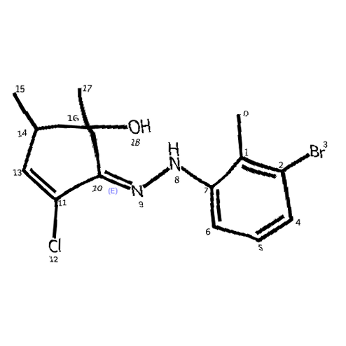 Cc1c(Br)cccc1N/N=C1/C(Cl)=CC(C)C1(C)O